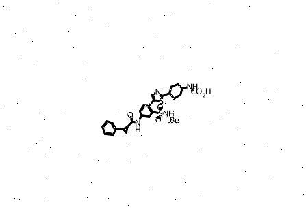 CC(C)(C)NS(=O)(=O)c1cc(NC(=O)C2CC2c2ccccc2)ccc1-c1cnc(C2CCC(NC(=O)O)CC2)s1